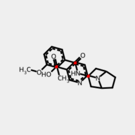 COc1cccc(C(=O)NC2CC3CCC(C2)N3c2ccc(C(=O)O)cn2)c1C